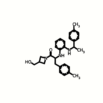 Cc1ccc(CC(Nc2ccccc2NC(C)c2ccc(C)cc2)C(=O)N2CC(CO)C2)cc1